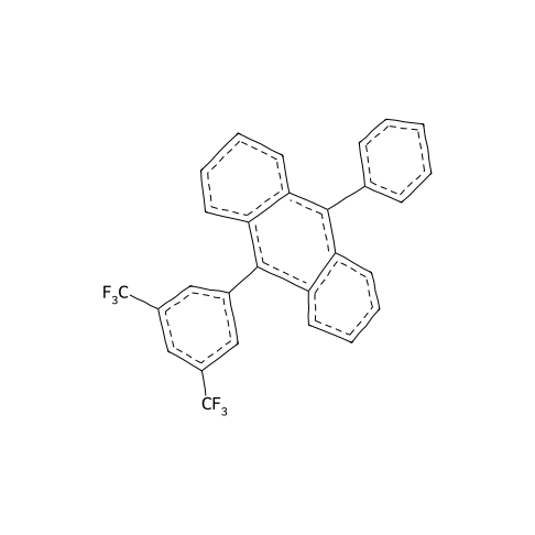 FC(F)(F)c1cc(-c2c3ccccc3c(-c3ccccc3)c3ccccc23)cc(C(F)(F)F)c1